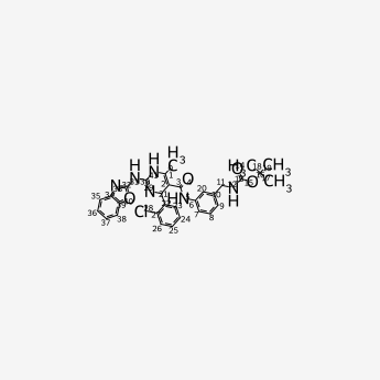 CC1=C(C(=O)Nc2cccc(CNC(=O)OC(C)(C)C)c2)C(c2ccccc2Cl)N=C(Nc2nc3ccccc3o2)N1